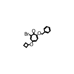 O=c1c(Br)cc(OC2CCC2)ccc1OCc1ccccc1